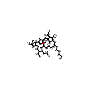 CCCCCCCCC1C(=O)c2c(C)sc(-c3cc4c(s3)-c3sc(C)cc3[Si]4(CC(CC)CCCC)CC(CC)CCCC)c2C1=O